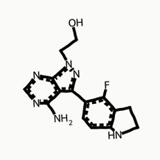 Nc1ncnc2c1c(-c1ccc3c(c1F)CCN3)nn2CCO